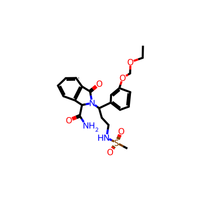 CCOCOc1cccc(C(CCNS(C)(=O)=O)N2C(=O)c3[c]cccc3C2C(N)=O)c1